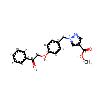 COC(=O)c1cnn(Cc2ccc(OCC(=O)c3ccccc3)cc2)c1